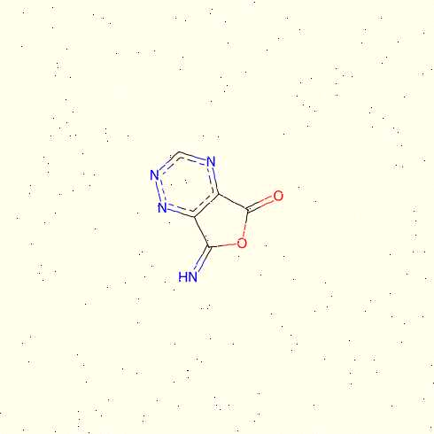 N=C1OC(=O)c2ncnnc21